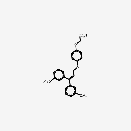 COc1cccc(C(=CCSc2ccc(OCC(=O)O)cc2)c2cccc(OC)c2)c1